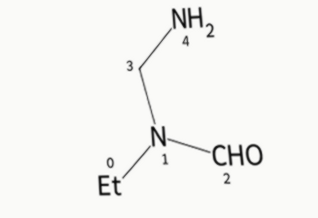 CCN(C=O)CN